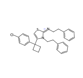 Clc1ccc(C2(c3cs/c(=N/CCc4ccccc4)n3CCc3ccccc3)CCC2)cc1